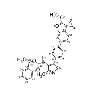 COC(=O)C1(c2ccc(-c3ccc(-c4snc(C)c4NC(=O)O[C@@H](C)c4ccccc4)cc3)cc2)CC1